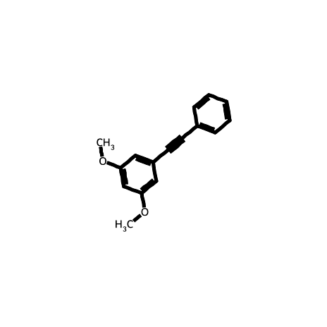 COc1cc(C#Cc2ccccc2)cc(OC)c1